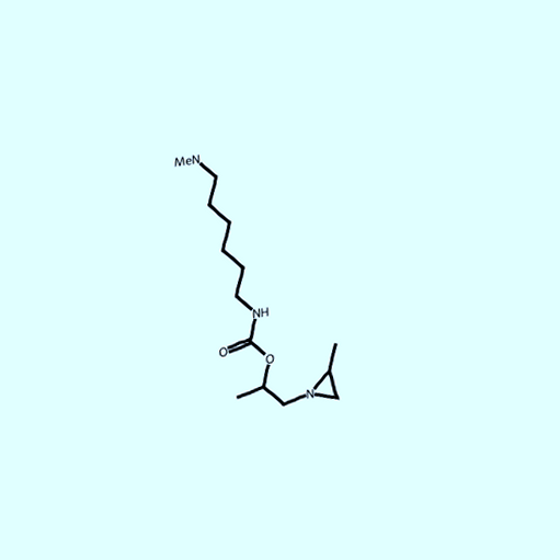 CNCCCCCCNC(=O)OC(C)CN1CC1C